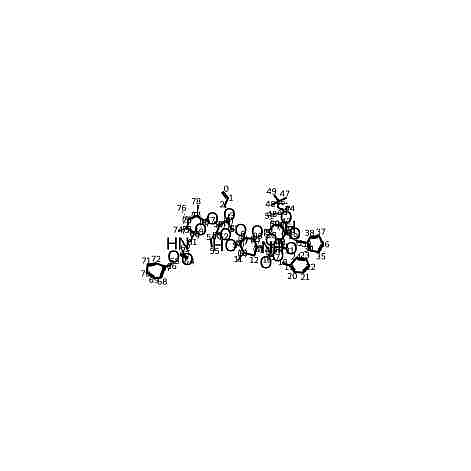 C=CCO[C@H]1[C@H](O[C@@H]2[C@@H](O)[C@H](C)C[C@H](NC(=O)OCc3ccccc3)[C@H]2O[C@H]2O[C@@H]3COC(c4ccccc4)O[C@H]3[C@H](O[Si](C)(C)C(C)(C)C)[C@H]2C)O[C@H](CC)[C@H]1O[C@H]1O[C@@H](CNC(=O)OCc2ccccc2)[C@@H](C)[C@H](C)[C@H]1C